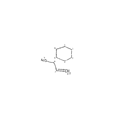 C1CCCCC1.C=CCOC(C)=O